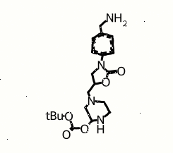 CC(C)(C)OC(=O)OC1CN(CC2CN(c3ccc(CN)cc3)C(=O)O2)CCN1